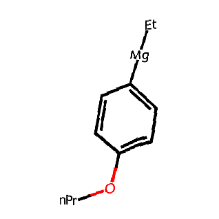 CCCOc1cc[c]([Mg][CH2]C)cc1